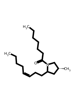 CCCC/C=C\CCC1C[C@@H](C)CN1C(=O)CCCCCC